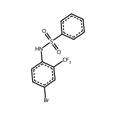 O=S(=O)(Nc1ccc(Br)cc1C(F)(F)F)c1ccccc1